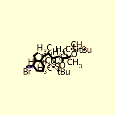 C[C@@H](CC[C@H](O[Si](C)(C)C(C)(C)C)C(C)(C)O[Si](C)(C)C(C)(C)C)[C@H]1CC[C@H]2/C(=C/Br)CCC[C@]12C